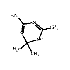 CC1(C)N=C(O)N=C(N)N1